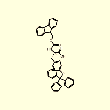 O=C(N[C@@H](Cc1ccc(OC(c2ccccc2)(c2ccccc2)c2ccccc2)cc1)C(=O)O)OCC1c2ccccc2-c2ccccc21